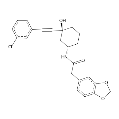 O=C(Cc1ccc2c(c1)OCO2)N[C@H]1CCC[C@@](O)(C#Cc2cccc(Cl)c2)C1